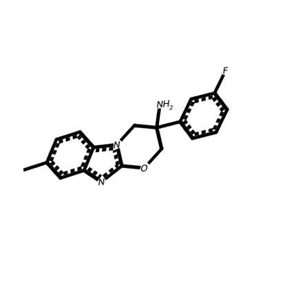 Cc1ccc2c(c1)nc1n2CC(N)(c2cccc(F)c2)CO1